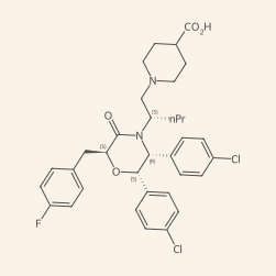 CCC[C@@H](CN1CCC(C(=O)O)CC1)N1C(=O)[C@H](Cc2ccc(F)cc2)O[C@@H](c2ccc(Cl)cc2)[C@H]1c1ccc(Cl)cc1